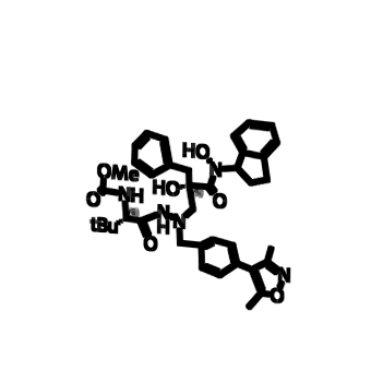 COC(=O)N[C@H](C(=O)NN(Cc1ccc(-c2c(C)noc2C)cc1)C[C@@](O)(Cc1ccccc1)C(=O)N(O)C1CCc2ccccc21)C(C)(C)C